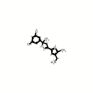 Cc1oc(C2=NOC(c3cc(Cl)cc(Cl)c3)(C(F)(F)F)C2)cc1CN